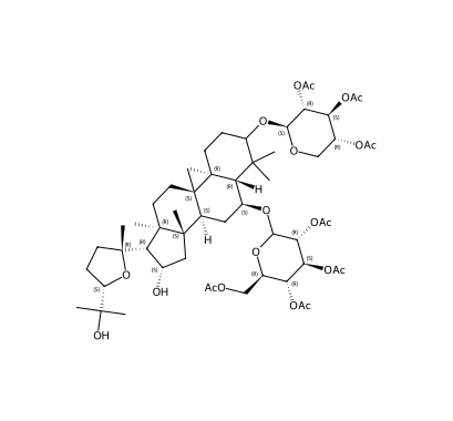 CC(=O)OC[C@H]1OC(O[C@H]2C[C@@H]3[C@]4(CC[C@]5(C)[C@@H]([C@@]6(C)CC[C@@H](C(C)(C)O)O6)[C@@H](O)C[C@@]35C)C[C@@]43CCC(O[C@@H]4OC[C@@H](OC(C)=O)[C@H](OC(C)=O)[C@H]4OC(C)=O)C(C)(C)[C@H]23)[C@H](OC(C)=O)[C@@H](OC(C)=O)[C@@H]1OC(C)=O